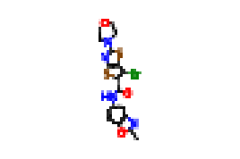 Cc1nc2cc(NC(=O)c3sc4nc(N5CCOCC5)sc4c3Br)ccc2o1